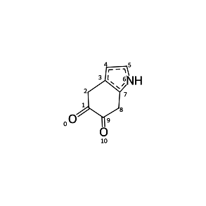 O=C1Cc2cc[nH]c2CC1=O